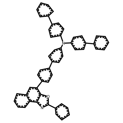 c1ccc(-c2ccc(N(c3ccc(-c4ccccc4)cc3)c3ccc(-c4ccc(-c5cc6ccccc6c6nc(-c7ccccc7)oc56)cc4)cc3)cc2)cc1